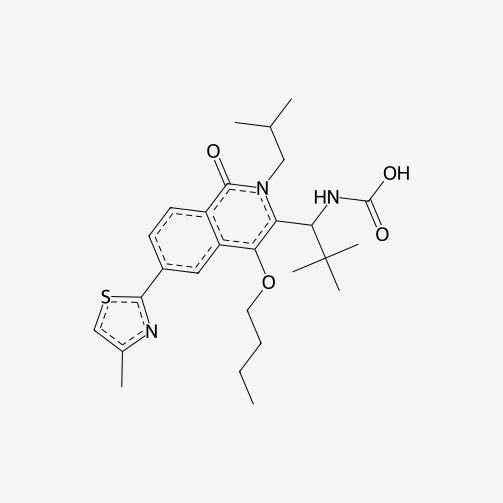 CCCCOc1c(C(NC(=O)O)C(C)(C)C)n(CC(C)C)c(=O)c2ccc(-c3nc(C)cs3)cc12